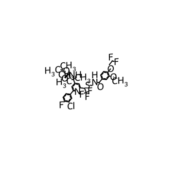 COc1cc(C(=O)NCSC(c2cc(C(C)(C)NC(=O)OC(C)(C)C)cc(-c3ccc(F)c(Cl)c3)n2)C(F)(F)F)ccc1OCC(F)F